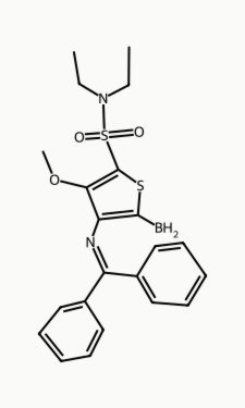 Bc1sc(S(=O)(=O)N(CC)CC)c(OC)c1N=C(c1ccccc1)c1ccccc1